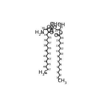 CCCCCCCCCCCCCCCCCC(=O)O[C@H](CO)COP(=O)(O)OC(CN)C(=O)CCCCCCCCCCCCCCC